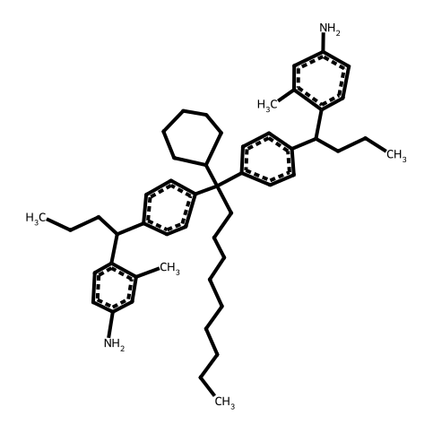 CCCCCCCCCC(c1ccc(C(CCC)c2ccc(N)cc2C)cc1)(c1ccc(C(CCC)c2ccc(N)cc2C)cc1)C1CCCCC1